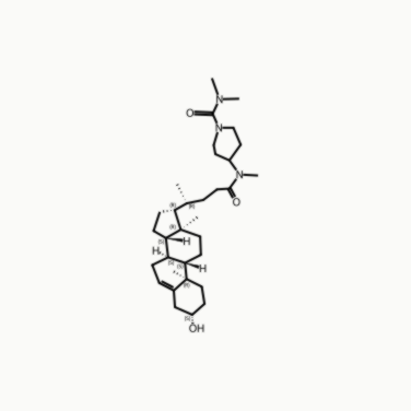 C[C@H](CCC(=O)N(C)C1CCN(C(=O)N(C)C)CC1)[C@H]1CC[C@H]2[C@@H]3CC=C4C[C@@H](O)CC[C@]4(C)[C@H]3CC[C@]12C